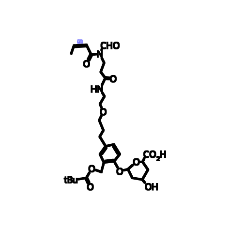 C/C=C\C(=O)N(C=O)CCC(=O)NCCOCCCc1ccc(OC2CC(O)CC(C(=O)O)O2)c(COC(=O)C(C)(C)C)c1